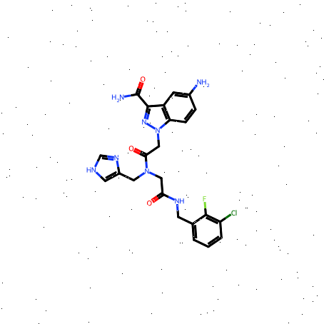 NC(=O)c1nn(CC(=O)N(CC(=O)NCc2cccc(Cl)c2F)Cc2c[nH]cn2)c2ccc(N)cc12